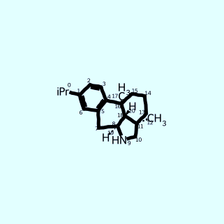 CC(C)c1ccc2c(c1)C[C@@H]1NC[C@]3(C)CCC[C@@]2(C)[C@@H]13